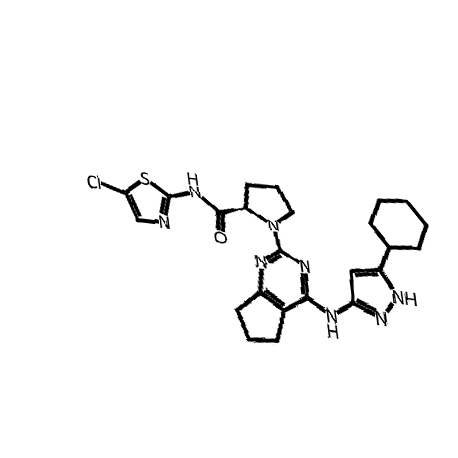 O=C(Nc1ncc(Cl)s1)[C@H]1CCCN1c1nc2c(c(Nc3cc(C4CCCCC4)[nH]n3)n1)CCC2